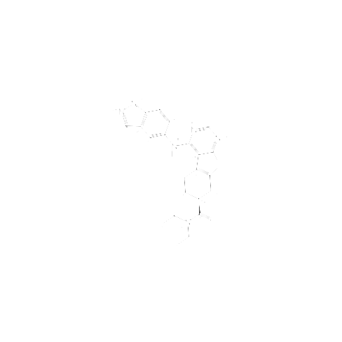 CCN(CC)C(=O)[C@H]1CCc2c(sc3ncnc(Nc4ccc5[nH]ncc5c4)c23)C1